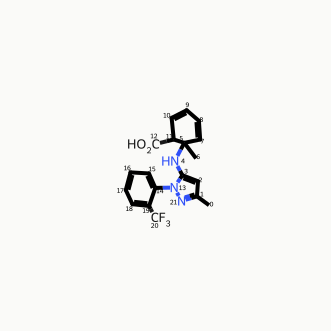 Cc1cc(NC2(C)C=CC=CC2C(=O)O)n(-c2ccccc2C(F)(F)F)n1